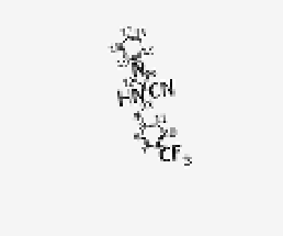 N#CC1(NCCc2ccc(C(F)(F)F)cc2)CN(c2ccccc2)C1